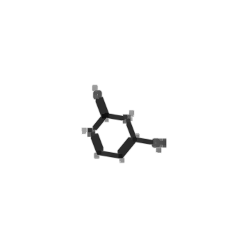 O=C1[N]C(O)=CC=N1